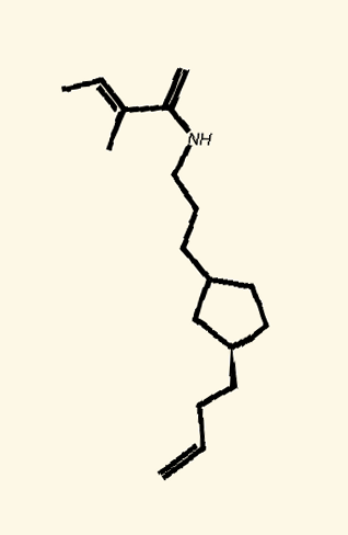 C=CCC[C@@H]1CCC(CCCNC(=C)/C(C)=C/C)C1